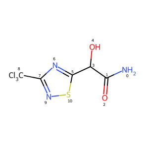 NC(=O)C(O)c1nc(C(Cl)(Cl)Cl)ns1